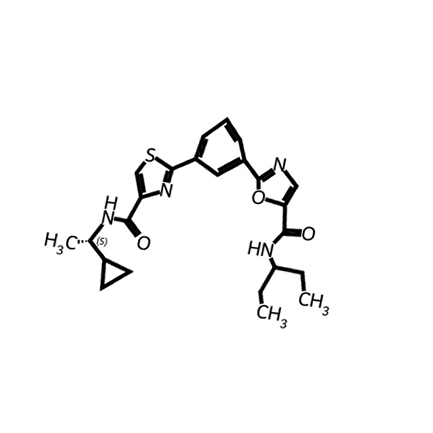 CCC(CC)NC(=O)c1cnc(-c2cccc(-c3nc(C(=O)N[C@@H](C)C4CC4)cs3)c2)o1